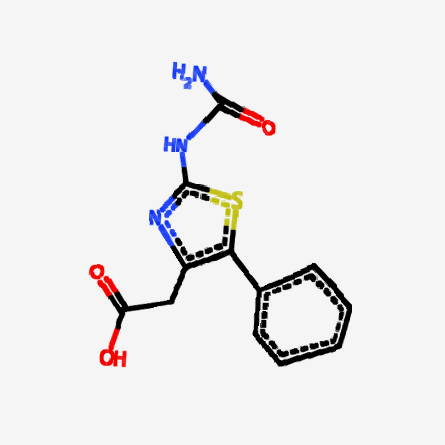 NC(=O)Nc1nc(CC(=O)O)c(-c2ccccc2)s1